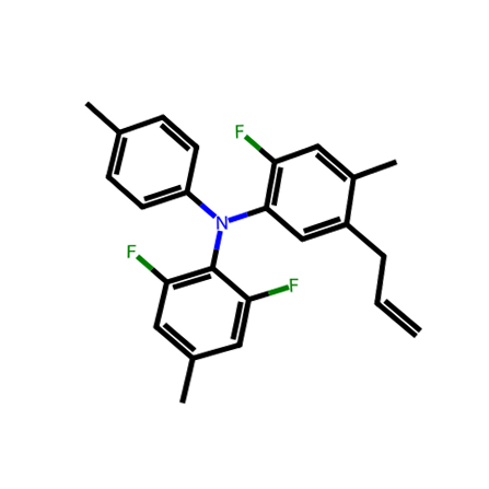 C=CCc1cc(N(c2ccc(C)cc2)c2c(F)cc(C)cc2F)c(F)cc1C